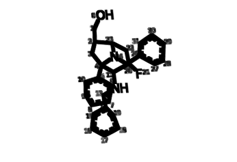 OCC1CC2(c3ccccc3)C(NCc3ccccc3)C(F)CC1N2Cc1ccccc1